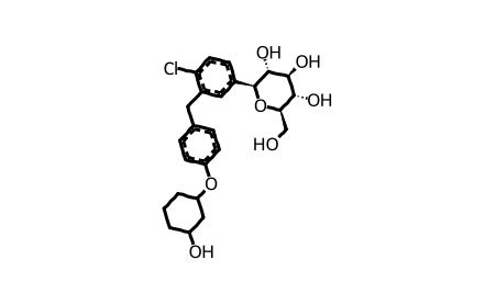 OC[C@H]1O[C@@H](c2ccc(Cl)c(Cc3ccc(OC4CCCC(O)C4)cc3)c2)[C@H](O)[C@@H](O)[C@@H]1O